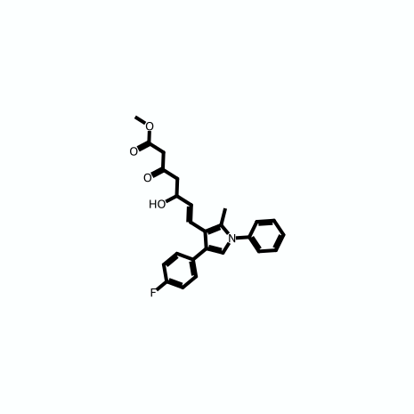 COC(=O)CC(=O)CC(O)/C=C/c1c(-c2ccc(F)cc2)cn(-c2ccccc2)c1C